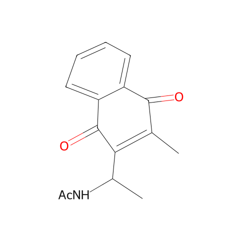 CC(=O)NC(C)C1=C(C)C(=O)c2ccccc2C1=O